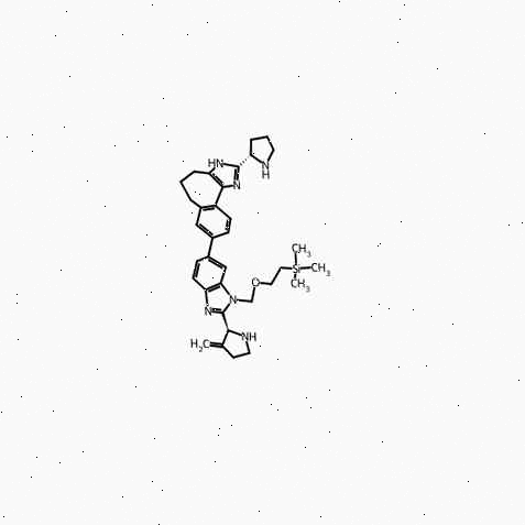 C=C1CCN[C@@H]1c1nc2ccc(-c3ccc4c(c3)CCCc3[nH]c([C@@H]5CCCN5)nc3-4)cc2n1COCC[Si](C)(C)C